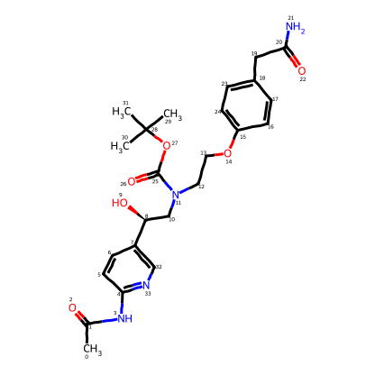 CC(=O)Nc1ccc([C@@H](O)CN(CCOc2ccc(CC(N)=O)cc2)C(=O)OC(C)(C)C)cn1